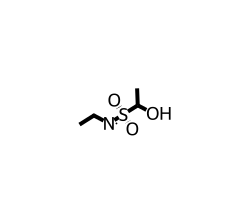 CC[N]S(=O)(=O)C(C)O